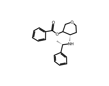 C[C@H](N[C@H]1CCOCC1OC(=O)c1ccccc1)c1ccccc1